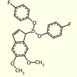 COc1cc2c(cc1OC)[CH]([Zr]([O]c1ccc(F)cc1)[O]c1ccc(F)cc1)C=C2